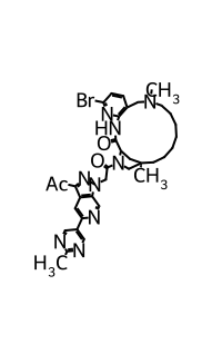 CC(=O)c1nn(CC(=O)N2C[C@@]3(C)CCCCCCCN(C)Cc4ccc(Br)nc4NC(=O)C2C3)c2cnc(-c3cnc(C)nc3)cc12